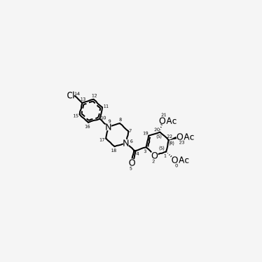 CC(=O)O[C@@H]1OC(C(=O)N2CCN(c3ccc(Cl)cc3)CC2)=C[C@H](OC(C)=O)[C@H]1OC(C)=O